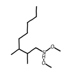 CCCCCC(C)C(C)C[SiH](OC)OC